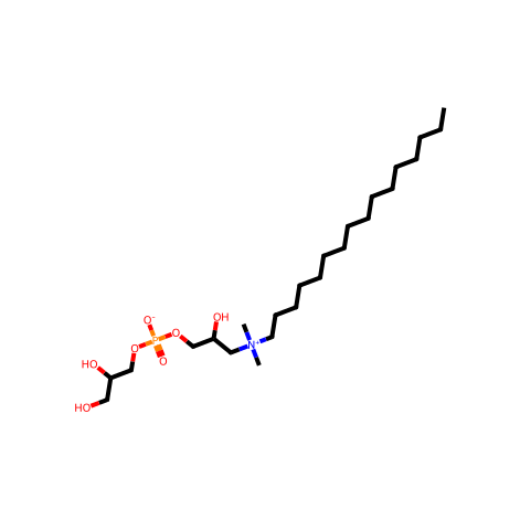 CCCCCCCCCCCCCCCC[N+](C)(C)CC(O)COP(=O)([O-])OCC(O)CO